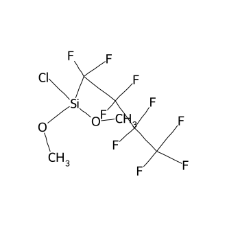 CO[Si](Cl)(OC)C(F)(F)C(F)(F)C(F)(F)C(F)(F)F